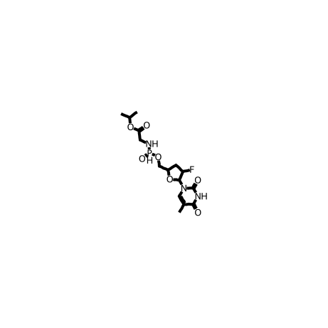 Cc1cn(C2OC(CO[PH](=O)NCC(=O)OC(C)C)CC2F)c(=O)[nH]c1=O